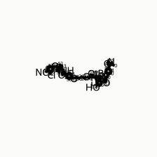 Cc1ncoc1-c1ccc(CNC(=O)[C@@H]2C[C@@H](O)CN2C(=O)[C@@H](NC(=O)COCCCCOc2ccc(C(=O)NC3C(C)(C)C(Oc4ccc(C#N)c(Cl)c4)C3(C)C)cc2)C(C)(C)C)cc1